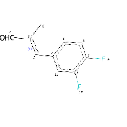 C/C(C=O)=C\c1ccc(F)c(F)c1